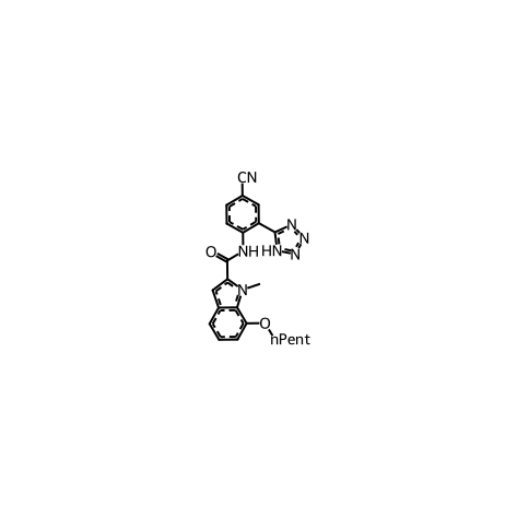 CCCCCOc1cccc2cc(C(=O)Nc3ccc(C#N)cc3-c3nnn[nH]3)n(C)c12